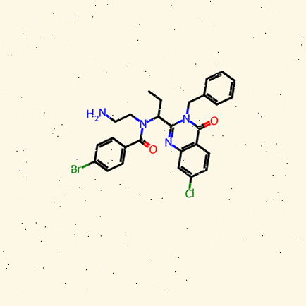 CCC(c1nc2cc(Cl)ccc2c(=O)n1Cc1ccccc1)N(CCN)C(=O)c1ccc(Br)cc1